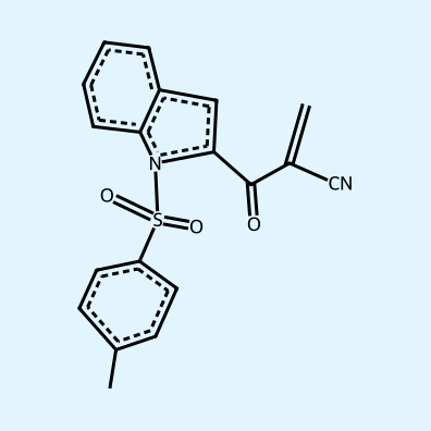 C=C(C#N)C(=O)c1cc2ccccc2n1S(=O)(=O)c1ccc(C)cc1